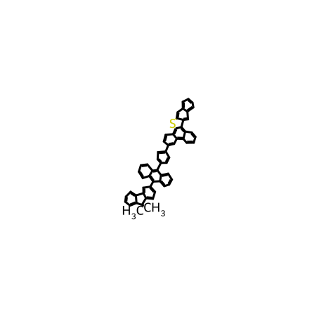 CC1(C)c2ccccc2-c2cc(-c3c4ccccc4c(-c4ccc(-c5ccc6c(c5)c5ccccc5c5c7cc8ccccc8cc7sc65)cc4)c4ccccc34)ccc21